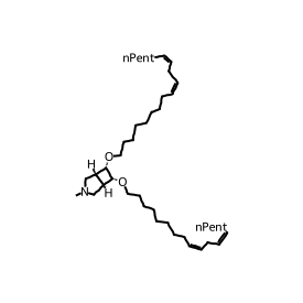 CCCCC/C=C\C/C=C\CCCCCCCCO[C@@H]1[C@@H]2CN(C)C[C@@H]2[C@@H]1OCCCCCCCC/C=C\C/C=C\CCCCC